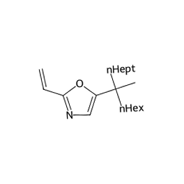 C=Cc1ncc(C(C)(CCCCCC)CCCCCCC)o1